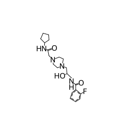 O=C(CN1CCN(CC(O)CNC(=O)c2ccccc2F)CC1)NC1CCCC1